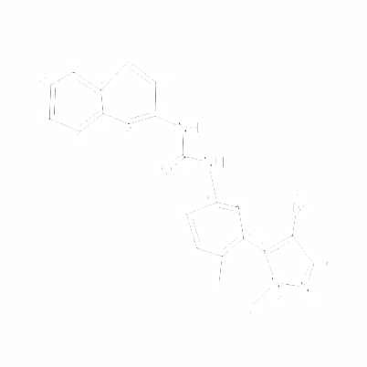 Cc1ccc(NC(=O)Nc2ccc3ccccc3c2)cc1-c1c(Br)cnn1C